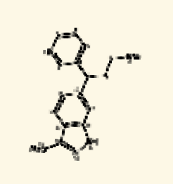 CNCCC(c1cccnc1)c1ccc2c(OC)n[nH]c2c1